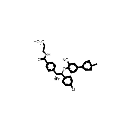 CCC[C@H](c1ccc(C(=O)NCCC(=O)O)cc1)[C@@H](Oc1ccc(-c2ccc(C)cc2)cc1C#N)c1ccc(Cl)cc1